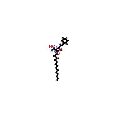 CCCCCCCCCCCCCCN[C@](C=O)(NC(=O)/C=C/c1ccccc1)[C@@H](C)O